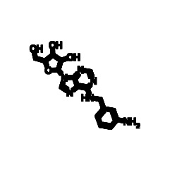 Nc1cccc(CNc2ncnc3c2ncn3C2OC(CO)C(O)C2O)c1